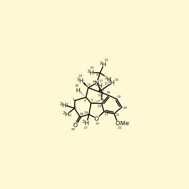 [2H]C1([2H])C[C@@H]2[C@@]34CCN(C([2H])([2H])[2H])[C@]2([2H])C([2H])([2H])c2ccc(OC)c(c23)OC4([2H])C1=O